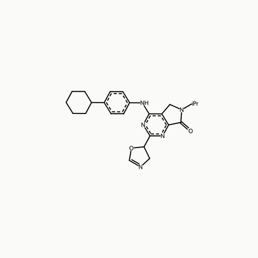 CC(C)N1Cc2c(Nc3ccc(C4CCCCC4)cc3)nc(C3CN=CO3)nc2C1=O